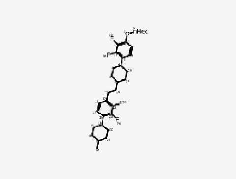 CCCCCCOc1ccc(C2CCC(CCc3ccc(C4CCC(C)CC4)c(F)c3F)CC2)c(F)c1F